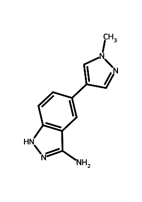 Cn1cc(-c2ccc3[nH]nc(N)c3c2)cn1